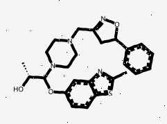 Cc1nc2cc(OC([C@@H](C)O)N3CCN(CC4=NOC(c5ccccc5)C4)CC3)ccc2s1